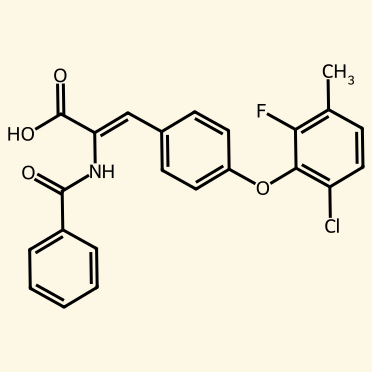 Cc1ccc(Cl)c(Oc2ccc(/C=C(\NC(=O)c3ccccc3)C(=O)O)cc2)c1F